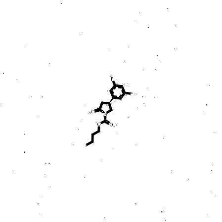 CCCCOC(=O)N1C[C@H](c2cc(F)cc(F)c2)CC1=O